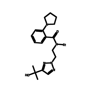 CCN(CCn1ncc(C(C)(C)O)n1)C(=O)c1ccccc1N1CCCC1